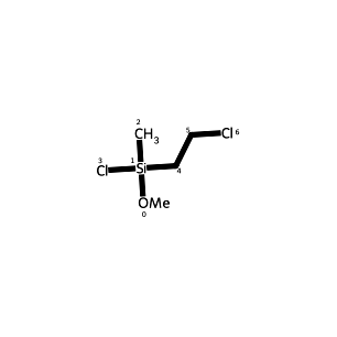 CO[Si](C)(Cl)CCCl